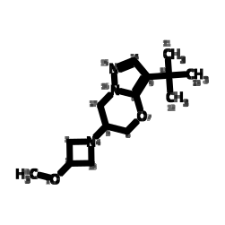 COC1CN(C2COc3c(C(C)(C)C)cnn3C2)C1